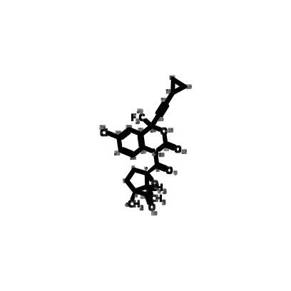 CC1(C)[C@@]2(C)CC[C@]1(C(=O)N1C(=O)OC(C#CC3CC3)(C(F)(F)F)c3cc(Cl)ccc31)OC2=O